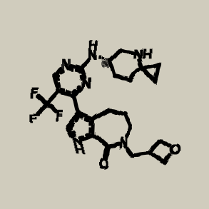 O=C1c2[nH]cc(-c3nc(N[C@H]4CCC5(CC5)NC4)ncc3C(F)(F)F)c2CCCN1CC1COC1